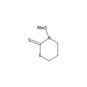 CON1CCCSC1=S